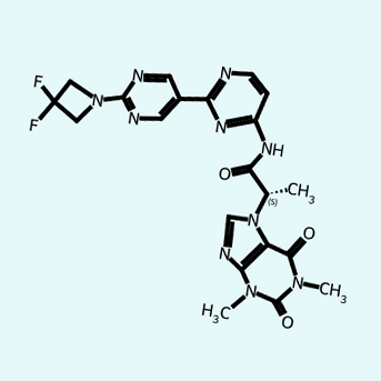 C[C@@H](C(=O)Nc1ccnc(-c2cnc(N3CC(F)(F)C3)nc2)n1)n1cnc2c1c(=O)n(C)c(=O)n2C